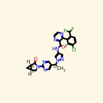 C[C@@H](c1cnc(N2C[C@H]3C[C@H]3C2=O)nc1)n1cc(NC(=O)c2nccnc2-c2c(C(F)F)ccc(Cl)c2F)cn1